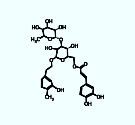 Cc1ccc(CCO[C@@H]2OC(COC(=O)/C=C/c3ccc(O)c(O)c3)[C@@H](O)[C@H](O[C@@H]3OC(C)[C@@H](O)C(O)[C@@H]3O)C2O)cc1O